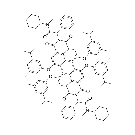 Cc1cc(Oc2cc3c4c(cc(Oc5cc(C)cc(C(C)C)c5)c5c6c(Oc7cc(C)cc(C(C)C)c7)cc7c8c(cc(Oc9cc(C)cc(C(C)C)c9)c(c2c45)c86)C(=O)N(C(C(=O)N(C)C2CCCCC2)c2ccccc2)C7=O)C(=O)N(C(C(=O)N(C)C2CCCCC2)c2ccccc2)C3=O)cc(C(C)C)c1